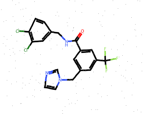 O=C(NCc1ccc(Cl)c(Cl)c1)c1cc(Cn2ccnc2)cc(C(F)(F)F)c1